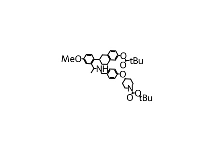 COc1ccc(C2CCc3cc(OC(=O)C(C)(C)C)ccc3C2)c(C(C)NCc2ccc(OC3CCN(C(=O)OC(C)(C)C)CC3)cc2)c1